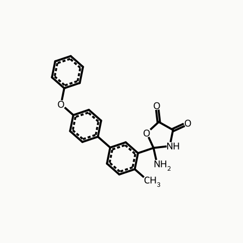 Cc1ccc(-c2ccc(Oc3ccccc3)cc2)cc1C1(N)NC(=O)C(=O)O1